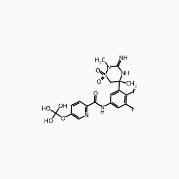 CN1C(=N)N[C@](C)(c2cc(NC(=O)c3ccc(OC(O)(O)O)cn3)cc(F)c2F)CS1(=O)=O